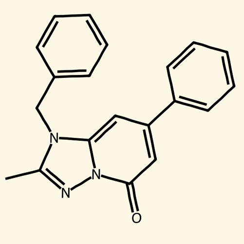 Cc1nn2c(=O)cc(-c3ccccc3)cc2n1Cc1ccccc1